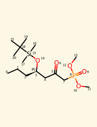 CCC[C@H](CC(=O)CP(=O)(OC)OC)O[Si](C)(C)C(C)(C)C